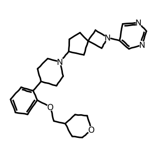 c1ccc(C2CCN(C3CCC4(C3)CN(c3cncnc3)C4)CC2)c(OCC2CCOCC2)c1